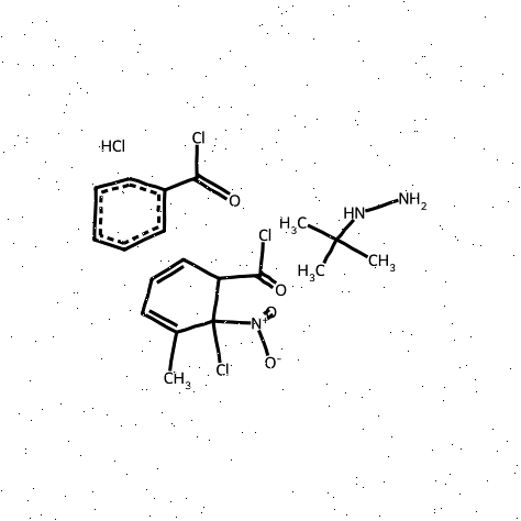 CC(C)(C)NN.CC1=CC=CC(C(=O)Cl)C1(Cl)[N+](=O)[O-].Cl.O=C(Cl)c1ccccc1